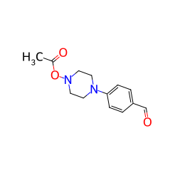 CC(=O)ON1CCN(c2ccc(C=O)cc2)CC1